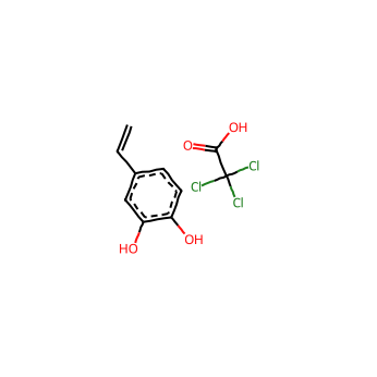 C=Cc1ccc(O)c(O)c1.O=C(O)C(Cl)(Cl)Cl